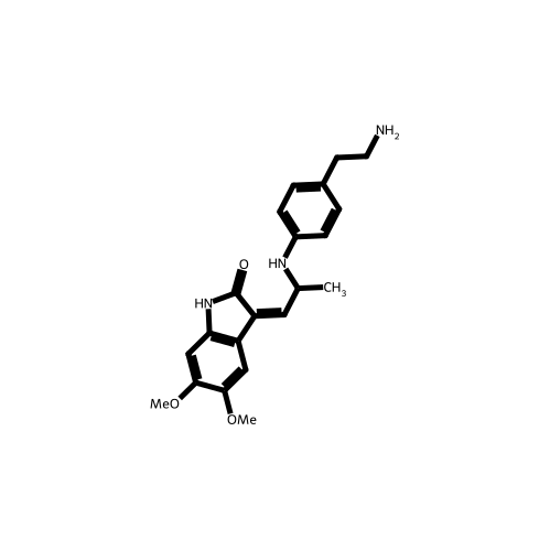 COc1cc2c(cc1OC)C(=CC(C)Nc1ccc(CCN)cc1)C(=O)N2